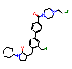 O=C(c1ccc(-c2ccc(CC3CCN(C4CCCCC4)C3=O)c(CF)c2)cc1)N1CCN(CCF)CC1